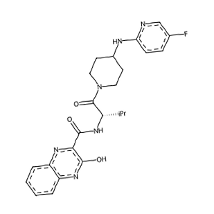 CC(C)[C@H](NC(=O)c1nc2ccccc2nc1O)C(=O)N1CCC(Nc2ccc(F)cn2)CC1